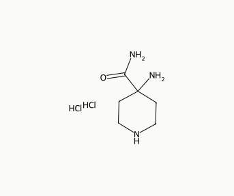 Cl.Cl.NC(=O)C1(N)CCNCC1